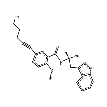 CC(C)Oc1ccc(C#CCCCC#N)cc1C(=O)N[C@](C)(O)Cc1c[nH]c2ccccc12